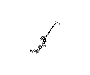 CCCCCCCCCCCCCCOc1ccc(CC(=O)Nc2cccc(C[n+]3csc(C)c3)c2)cc1C(C)=O.[Br-]